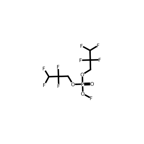 O=P(OF)(OCC(F)(F)C(F)F)OCC(F)(F)C(F)F